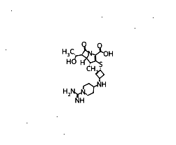 C[C@@H](O)[C@H]1C(=O)N2C(C(=O)O)=C(S[C@H]3C[C@H](NC4CCN(C(=N)N)CC4)C3)[C@H](C)[C@H]12